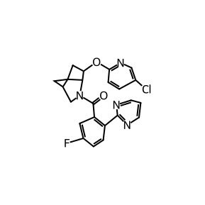 O=C(c1cc(F)ccc1-c1ncccn1)N1CC2CC23CC(Oc2ccc(Cl)cn2)C13